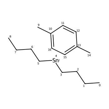 CCC[CH2][Sn][CH2]CCC.Cc1ccc(C)cc1